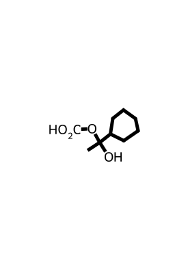 CC(O)(OC(=O)O)C1CCCCC1